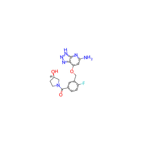 Nc1cc(OCc2cc(C(=O)N3CC[C@@H](O)C3)ccc2F)c2nn[nH]c2n1